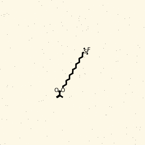 C=C(C)C(=O)OCCCCCCCCCCCCC[Si](C)(C)F